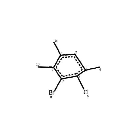 Cc1cc(C)c(Cl)c(Br)c1C